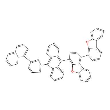 c1cc(-c2cccc3ccccc23)cc(-c2c3ccccc3c(-c3ccc(-c4cccc5c4oc4ccccc45)c4c3oc3ccccc34)c3ccccc23)c1